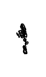 O=C(Nc1ccc(C(=O)/C=C/c2ccc3ccccc3n2)cc1)NS(=O)(=O)N1CCOCC1